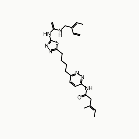 C=C/C(=C\C)CNC(=C)Nc1nnc(CCCCc2ccc(NC(=O)C/C(C)=C/C)nn2)s1